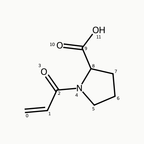 C=CC(=O)N1CCCC1C(=O)O